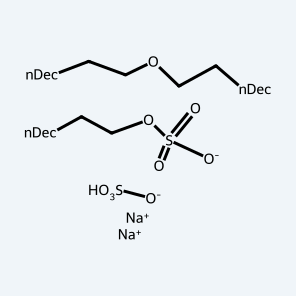 CCCCCCCCCCCCOCCCCCCCCCCCC.CCCCCCCCCCCCOS(=O)(=O)[O-].O=S(=O)([O-])O.[Na+].[Na+]